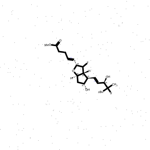 CCCCC(C)(F)[C@H](O)/C=C/[C@@H]1[C@H]2C(F)[C@@H](/C=C/CCC(=O)OC)O[C@@H]2C[C@H]1O